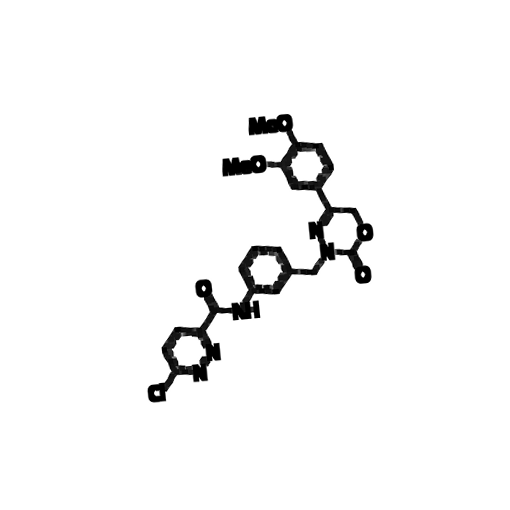 COc1ccc(C2=NN(Cc3cccc(NC(=O)c4ccc(Cl)nn4)c3)C(=O)OC2)cc1OC